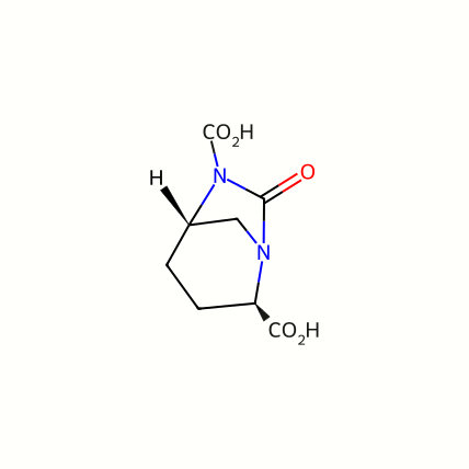 O=C(O)[C@H]1CC[C@H]2CN1C(=O)N2C(=O)O